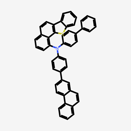 c1ccc(-c2ccc(N(c3ccc(-c4ccc5c(ccc6ccccc65)c4)cc3)c3cccc4ccc5c6ccccc6sc5c34)cc2)cc1